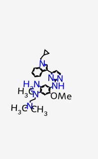 COc1cc(N(C)CCN(C)C)c(N)cc1Nc1nccc(-c2cn(CC3CC3)c3ccccc23)n1